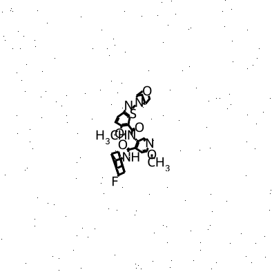 COc1cc(C(=O)NC23C4C5C2C2C3C4C52F)c(NC(=O)c2c(OC)ccc3nc(N4C5COCC4C5)sc23)cn1